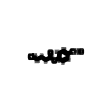 O=Cc1ccc(OC(=O)CCCCl)cc1